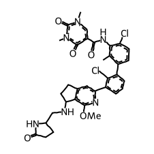 COc1nc(-c2cccc(-c3ccc(Cl)c(NC(=O)c4cn(C)c(=O)n(C)c4=O)c3C)c2Cl)cc2c1C(NCC1CCC(=O)N1)CC2